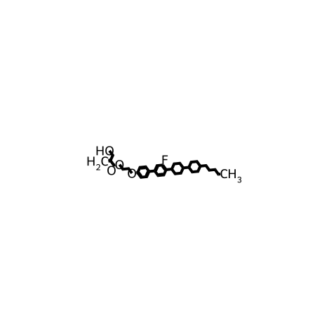 C=C(CO)C(=O)OCCOc1ccc(-c2ccc(C3CCC(C4CCC(CCCCC)CC4)CC3)c(F)c2)cc1